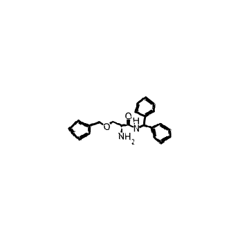 N[C@@H](COCc1ccccc1)C(=O)NC(c1ccccc1)c1ccccc1